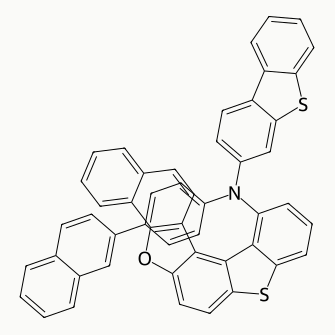 c1ccc2cc(-c3ccc(N(c4ccc5c(c4)sc4ccccc45)c4cccc5sc6ccc7oc8c9ccccc9ccc8c7c6c45)cc3)ccc2c1